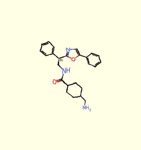 NCC1CCC(C(=O)NC[C@@H](c2ccccc2)c2ncc(-c3ccccc3)o2)CC1